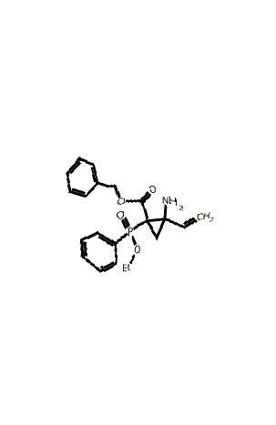 C=CC1(N)CC1(C(=O)OCc1ccccc1)P(=O)(OCC)c1ccccc1